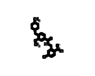 CC[S+]([O-])c1ccc(Cl)cc1CNC(=O)c1ccc(CN2CCN(C)CC2)c(OC(F)(F)F)c1